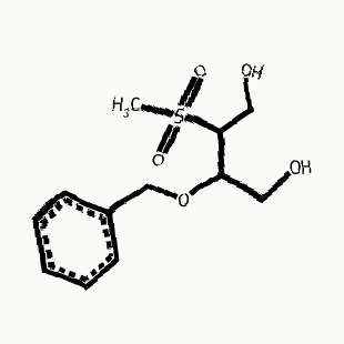 CS(=O)(=O)C(CO)C(CO)OCc1ccccc1